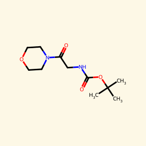 CC(C)(C)OC(=O)NCC(=O)N1CCOCC1